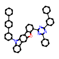 c1ccc(-c2ccc(-c3cccc(-n4c5ccccc5c5cc6oc7c(-c8nc(-c9ccccc9)nc(-c9cccc(-c%10ccccc%10)c9)n8)cccc7c6cc54)c3)cc2)cc1